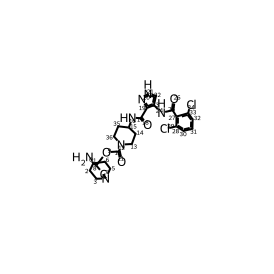 NC12CCN(CC1)CC2OC(=O)N1CCC(NC(=O)c2n[nH]cc2NC(=O)c2c(Cl)cccc2Cl)CC1